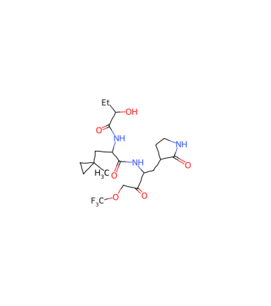 CCC(O)C(=O)NC(CC1(C)CC1)C(=O)NC(CC1CCNC1=O)C(=O)COC(F)(F)F